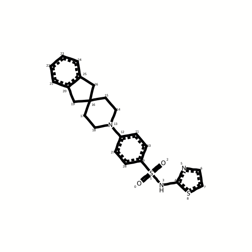 O=S(=O)(Nc1nccs1)c1ccc(N2CCC3(CC2)Cc2ccccc2C3)cc1